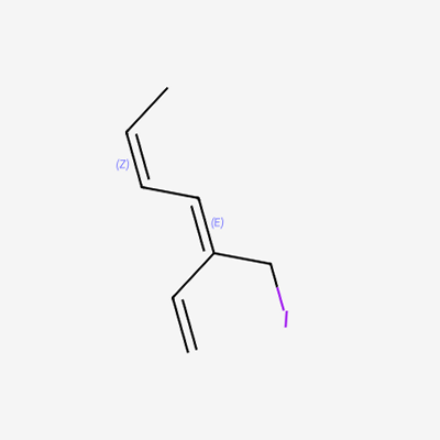 C=C/C(=C\C=C/C)CI